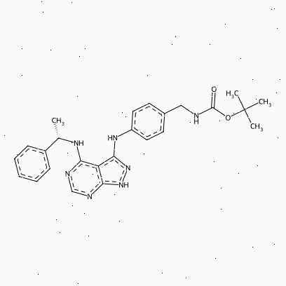 C[C@H](Nc1ncnc2[nH]nc(Nc3ccc(CNC(=O)OC(C)(C)C)cc3)c12)c1ccccc1